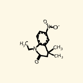 CCN1C(=O)CC(C)(C)c2cc([N+](=O)[O-])ccc21